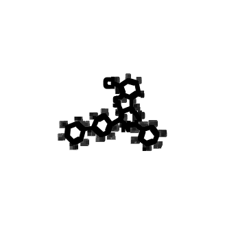 Clc1cccc2c1sc1c(-c3ccc(-c4ccccc4)cc3)nc(-c3ccccc3)nc12